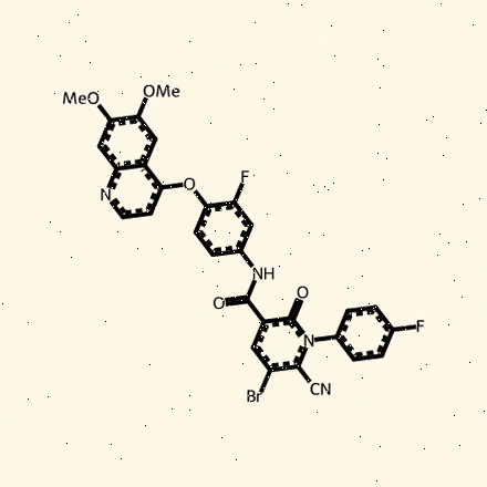 COc1cc2nccc(Oc3ccc(NC(=O)c4cc(Br)c(C#N)n(-c5ccc(F)cc5)c4=O)cc3F)c2cc1OC